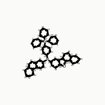 c1ccc([Si](c2ccccc2)(c2ccccc2)c2ccc(N(c3ccc4c(ccc5ccccc54)c3)c3ccc4oc5c6ccccc6ccc5c4c3)cc2)cc1